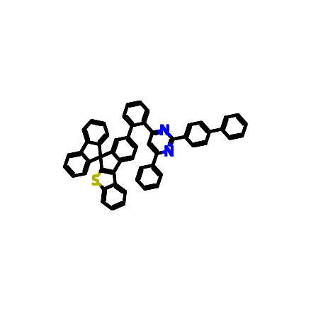 c1ccc(-c2ccc(-c3nc(-c4ccccc4)cc(-c4ccccc4-c4ccc5c(c4)C4(c6ccccc6-c6ccccc64)c4sc6ccccc6c4-5)n3)cc2)cc1